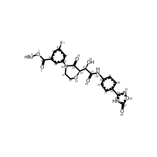 CCCCOC(=O)c1cc(F)cc(N2CCO[C@H]([C@@H](O)C(=O)Nc3ccc(-c4noc(=O)[nH]4)cc3)C2=O)c1